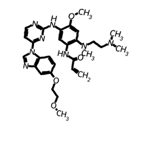 C=CC(=O)Nc1cc(Nc2nccc(-n3cnc4cc(OCCOC)ccc43)n2)c(OC)cc1N(C)CCN(C)C